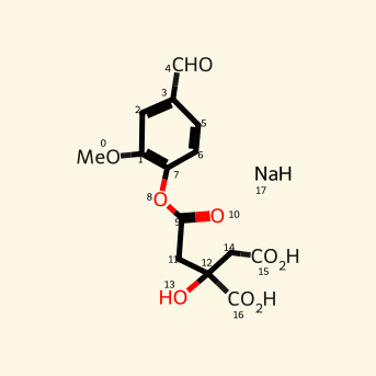 COc1cc(C=O)ccc1OC(=O)CC(O)(CC(=O)O)C(=O)O.[NaH]